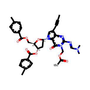 CC#Cc1cn([C@@H]2C[C@H](OC(=O)c3ccc(C)cc3)[C@@H](COC(=O)c3ccc(C)cc3)O2)c2c(=O)n(COC(=O)C(C)(C)C)c(N=CN(C)C)nc12